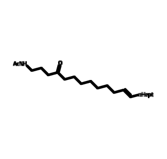 CCCCCCCC=CCCCCCCCC(=O)CCCNC(C)=O